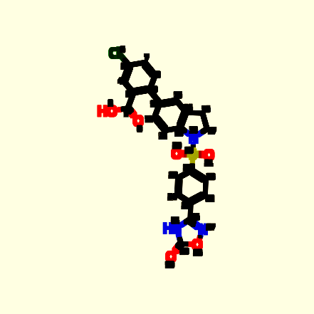 O=C(O)c1cc(Cl)ccc1-c1ccc2c(c1)CCN2S(=O)(=O)c1ccc(-c2noc(=O)[nH]2)cc1